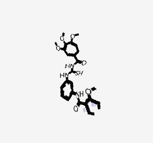 C/C=C(OC)\C(=C/C)C(=O)Nc1cccc(NC(S)NC(=O)C2=CC(OC)=C(OC)C(OC)=CC2)c1